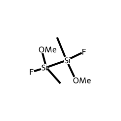 CO[Si](C)(F)[Si](C)(F)OC